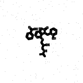 CC(C)NCC(O)COc1cccc2c1C(Cc1ccccc1O)C(=O)N2.O=C(O)c1ccccc1